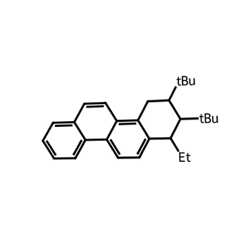 CCC1c2ccc3c(ccc4ccccc43)c2CC(C(C)(C)C)C1C(C)(C)C